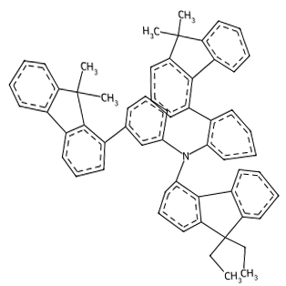 CCC1(CC)c2ccccc2-c2c(N(c3cccc(-c4cccc5c4C(C)(C)c4ccccc4-5)c3)c3ccccc3-c3cccc4c3-c3ccccc3C4(C)C)cccc21